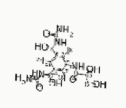 NC(=O)NC(O)c1c(I)c(NC(=O)C(O)CO)c(I)c(C(O)NC(N)=O)c1I